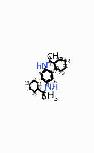 CC(Nc1ccc(NC(C)C2CCCCC2)cc1)C1CCCCC1